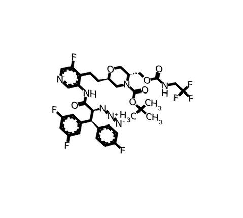 CC(C)(C)OC(=O)N1C[C@@H](CCc2c(F)cncc2NC(=O)[C@@H](N=[N+]=[N-])[C@@H](c2ccc(F)cc2)c2cc(F)cc(F)c2)OC[C@@H]1COC(=O)NCC(F)(F)F